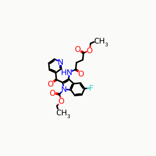 CCOC(=O)CCC(=O)Nc1c(C(=O)c2cccnc2)n(C(=O)OCC)c2ccc(F)cc12